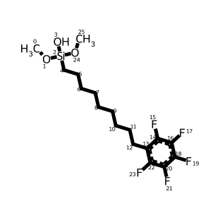 CO[Si](O)(CCCCCCCCCc1c(F)c(F)c(F)c(F)c1F)OC